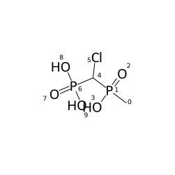 CP(=O)(O)C(Cl)P(=O)(O)O